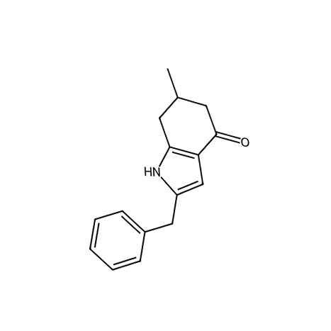 CC1CC(=O)c2cc(Cc3ccccc3)[nH]c2C1